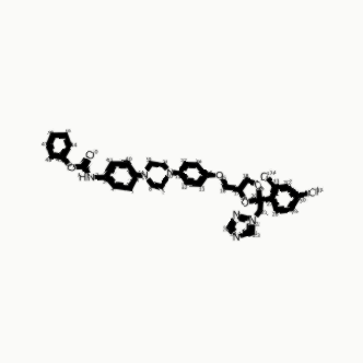 O=C(Nc1ccc(N2CCN(c3ccc(OCC4COC(Cn5cncn5)(c5ccc(Cl)cc5Cl)O4)cc3)CC2)cc1)Oc1ccccc1